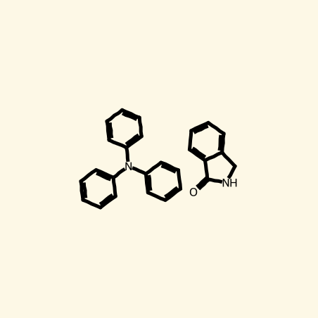 O=C1NCc2ccccc21.c1ccc(N(c2ccccc2)c2ccccc2)cc1